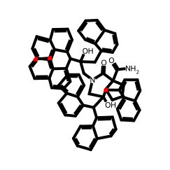 NC(=O)C1(C(=O)N(CC(O)(Cc2cccc3ccccc23)C(c2cccc3ccccc23)c2cccc3ccccc23)CC(O)(Cc2cccc3ccccc23)C(c2cccc3ccccc23)c2cccc3ccccc23)CCCC1